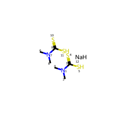 CN(C)C(=S)S.CN(C)C(=S)S.[NaH]